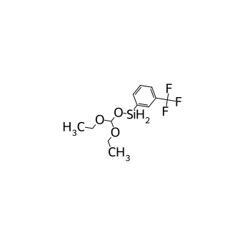 CCOC(OCC)O[SiH2]c1cccc(C(F)(F)F)c1